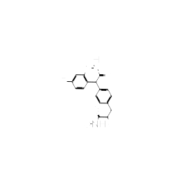 CC(Cc1ccc(C2C(=O)NSc3cc(F)ccc32)cc1)C(=O)NO